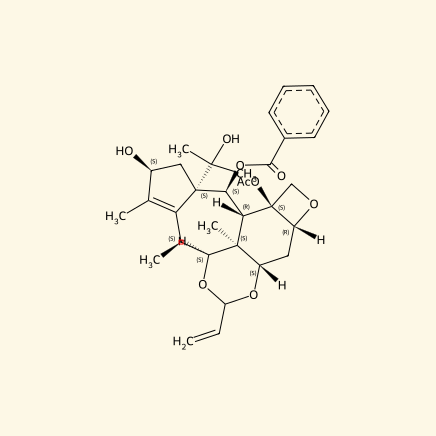 C=CC1O[C@H]2C[C@H]3OC[C@@]3(OC(C)=O)[C@H]3[C@H](OC(=O)c4ccccc4)[C@]4(C(C)(C)O)C[C@H](O)C(C)=C4[C@H](C)[C@H](O1)[C@]23C